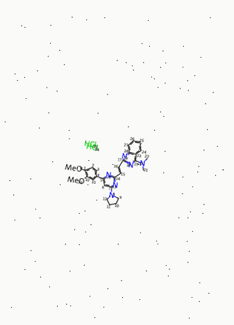 COc1ccc(-c2cc(N3CCCC3)nc(/C=C/c3nc(N(C)C)c4ccccc4n3)n2)cc1OC.Cl.Cl